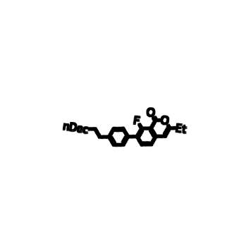 CCCCCCCCCCCCc1ccc(-c2ccc3cc(CC)oc(=O)c3c2F)cc1